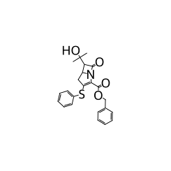 CC(C)(O)C1C(=O)N2C(C(=O)OCc3ccccc3)=C(Sc3ccccc3)CC12